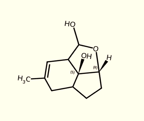 CC1=CC2C(O)O[C@@H]3CCC(C1)[C@]23O